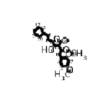 COc1ccc(CC(=O)C2=C(O)C(CCc3ccccc3)OC2=O)c(OC)c1